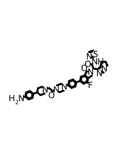 Nc1ccc(C2CCN(CC(=O)N3CCN(c4ccc(-c5cc(F)c6c(c5)C(=O)N(C(C(=O)Nc5nccs5)c5ncn7c5CCC7)C6)cc4)CC3)CC2)cc1